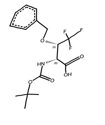 CC(C)(C)OC(=O)N[C@@H](C(=O)O)[C@H](OCc1ccccc1)C(F)(F)F